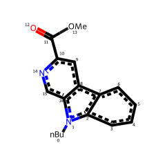 CCCCn1c2ccccc2c2cc(C(=O)OC)ncc21